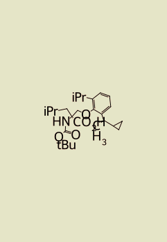 CC(C)C[C@@](COc1c(C(C)C)cccc1[C@H](C)C1CC1)(NC(=O)OC(C)(C)C)C(=O)O